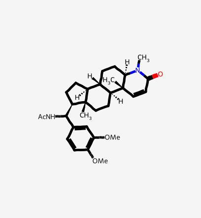 COc1ccc(C(NC(C)=O)[C@H]2CC[C@H]3[C@@H]4CC[C@H]5N(C)C(=O)C=C[C@]5(C)[C@H]4CC[C@]23C)cc1OC